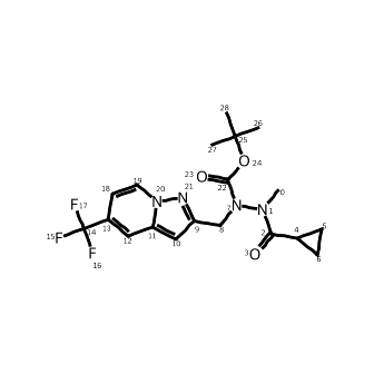 CN(C(=O)C1CC1)N(Cc1cc2cc(C(F)(F)F)ccn2n1)C(=O)OC(C)(C)C